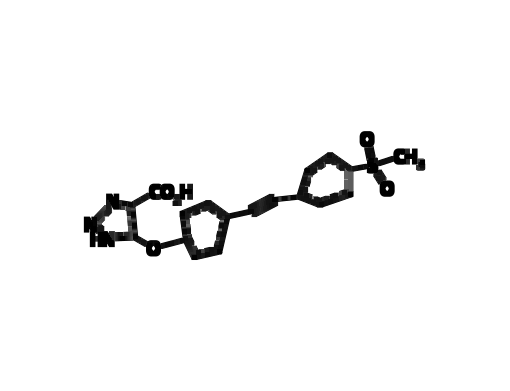 CS(=O)(=O)c1ccc(C#Cc2ccc(Oc3[nH]nnc3C(=O)O)cc2)cc1